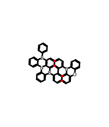 c1ccc(B2c3ccccc3N3c4ccccc4B(c4ccccc4-c4ccccc4B4c5ccccc5Oc5ccccc54)c4cccc2c43)cc1